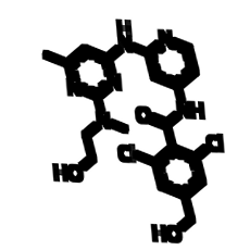 Cc1cc(Nc2cc(NC(=O)c3c(Cl)cc(CO)cc3Cl)ccn2)nc(N(C)CCO)n1